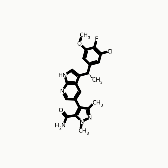 COc1cc([C@H](C)c2c[nH]c3ncc(-c4c(C)nn(C)c4C(N)=O)cc23)cc(Cl)c1F